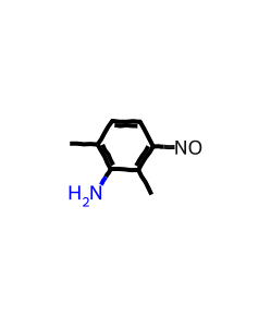 Cc1ccc(N=O)c(C)c1N